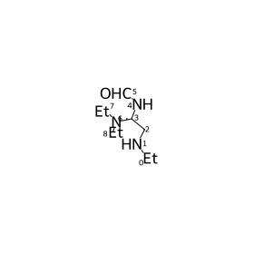 CCNC[C](NC=O)N(CC)CC